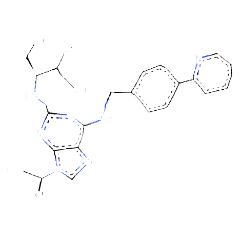 CC[C@H](Nc1nc(NCc2ccc(-c3ccccn3)cc2)c2ncn(C(C)C)c2n1)C(C)C